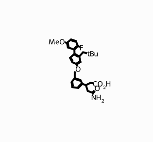 COc1ccc(F)c(-c2ccc(OCc3cccc(C(CC(N)=O)CC(=O)O)c3)cc2CC(C)(C)C)c1